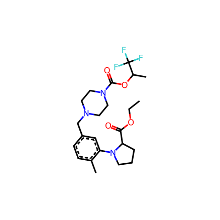 CCOC(=O)C1CCCN1c1cc(CN2CCN(C(=O)OC(C)C(F)(F)F)CC2)ccc1C